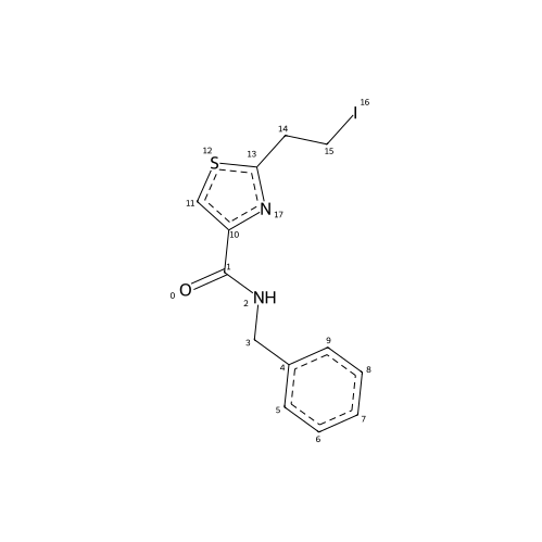 O=C(NCc1ccccc1)c1csc(CCI)n1